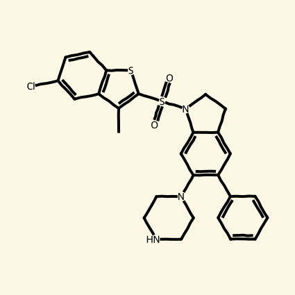 Cc1c(S(=O)(=O)N2CCc3cc(-c4ccccc4)c(N4CCNCC4)cc32)sc2ccc(Cl)cc12